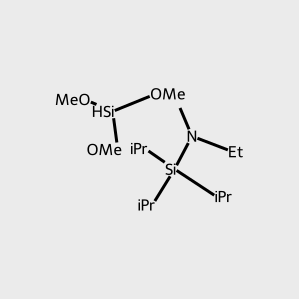 CCN(C)[Si](C(C)C)(C(C)C)C(C)C.CO[SiH](OC)OC